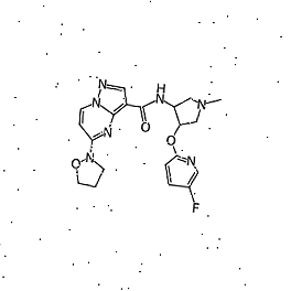 CN1CC(NC(=O)c2cnn3ccc(N4CCCO4)nc23)C(Oc2ccc(F)cn2)C1